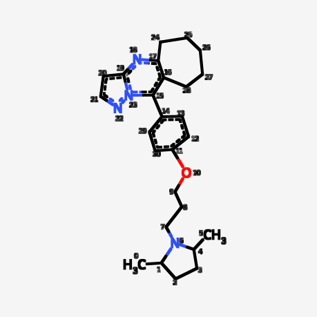 CC1CCC(C)N1CCCOc1ccc(-c2c3c(nc4ccnn24)CCCCC3)cc1